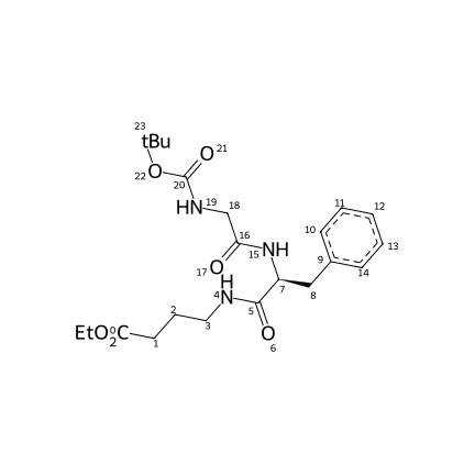 CCOC(=O)CCCNC(=O)[C@H](Cc1ccccc1)NC(=O)CNC(=O)OC(C)(C)C